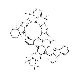 Cc1cc2c3c(c1)N(c1cccc4c1oc1ccccc14)c1cc4c(cc1B3c1ccc3cc1N2c1cc2c(cc1C)C(C)(C)c1ccccc1C2(C)c1cc2c(cc1C(C)(C)C)C1(C)CCCCC1(C)N32)C(C)(C)CC4(C)C